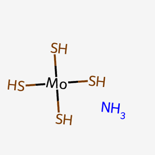 N.[SH][Mo]([SH])([SH])[SH]